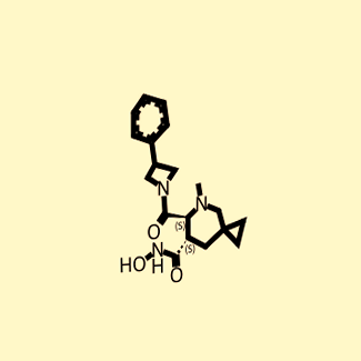 CN1CC2(CC2)C[C@H](C(=O)NO)[C@H]1C(=O)N1CC(c2ccccc2)C1